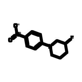 O=[N+]([O-])c1ccc(N2CCCC(F)C2)cc1